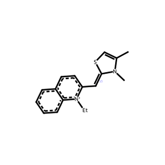 CC[n+]1c(/C=C2\SC=C(C)N2C)ccc2ccccc21